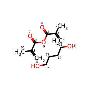 C=C(C)C(=O)OC(=O)C(=C)C.OCCCCO